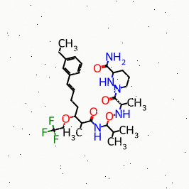 CCc1cccc(/C=C/CCC(OCC(F)(F)F)C(C)C(=O)NC(ONC(C)C(=O)N2CCCC(C(N)=O)N2)C(C)C)c1